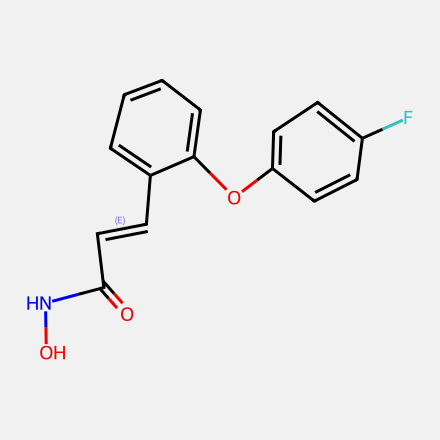 O=C(/C=C/c1ccccc1Oc1ccc(F)cc1)NO